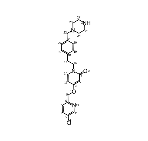 O=c1cc(OCc2ccc(Cl)cn2)ccn1CCc1ccc(CN2CCNCC2)cc1